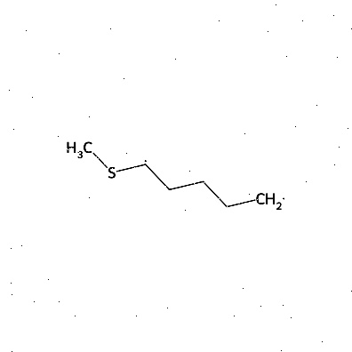 [CH2]CCC[CH]SC